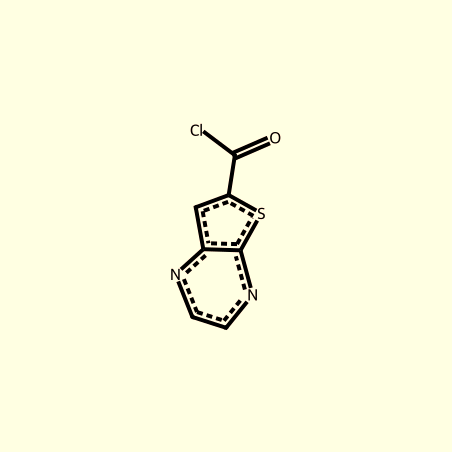 O=C(Cl)c1cc2nccnc2s1